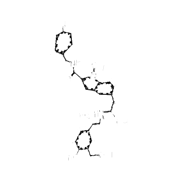 C[C@H](Cc1ccc2c(c1)cc(C(=O)NCc1ccc(Cl)cc1)n2C)NC[C@@H](O)c1ccc(O)c(CO)c1